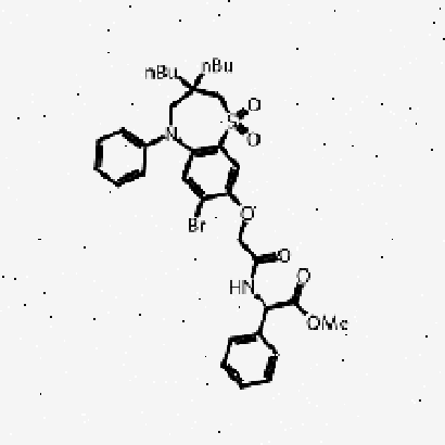 CCCCC1(CCCC)CN(c2ccccc2)c2cc(Br)c(OCC(=O)N[C@@H](C(=O)OC)c3ccccc3)cc2S(=O)(=O)C1